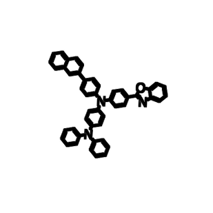 c1ccc(N(c2ccccc2)c2ccc(N(c3ccc(-c4ccc5ccccc5c4)cc3)c3ccc(-c4nc5ccccc5o4)cc3)cc2)cc1